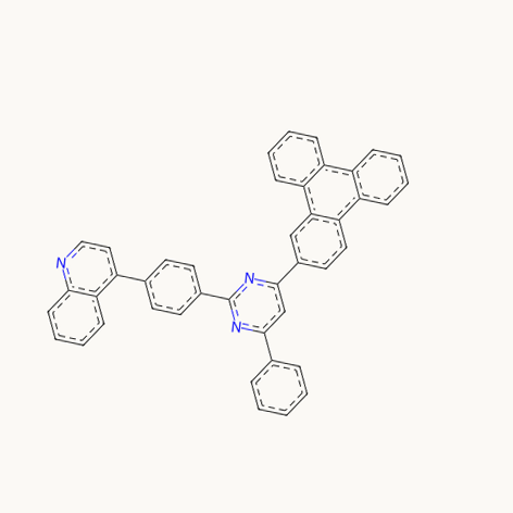 c1ccc(-c2cc(-c3ccc4c5ccccc5c5ccccc5c4c3)nc(-c3ccc(-c4ccnc5ccccc45)cc3)n2)cc1